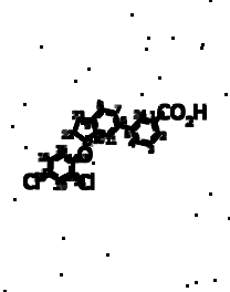 O=C(O)c1cccc(-c2ccc3c(c2)C(Oc2ccc(Cl)cc2Cl)CC3)c1